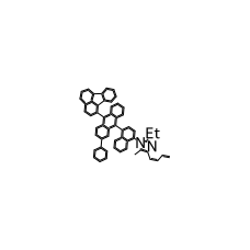 C=C/C=C\c1nc(CC)n(-c2ccc(-c3c4ccccc4c(-c4ccc5cccc6c5c4-c4ccccc4-6)c4ccc(-c5ccccc5)cc34)c3ccccc23)c1C